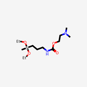 CCO[Si](C)(CCCNC(=O)OCCN(C)C)OCC